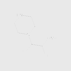 CCC(OC)C(CC)N1CCNCC1